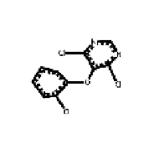 Clc1ccccc1Oc1c(Cl)ncnc1Cl